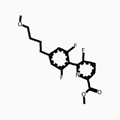 COCCCCc1cc(F)c(-c2nc(C(=O)OC)ccc2F)c(F)c1